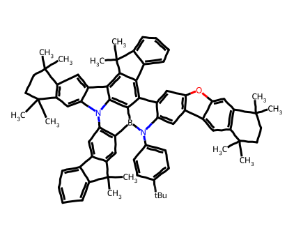 CC(C)(C)c1ccc(N2B3c4cc5c(cc4-n4c6cc7c(cc6c6c8c(c(c3c64)-c3cc4oc6cc9c(cc6c4cc32)C(C)(C)CCC9(C)C)-c2ccccc2C8(C)C)C(C)(C)CCC7(C)C)-c2ccccc2C5(C)C)cc1